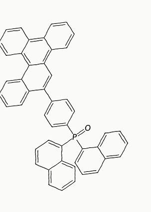 O=P(c1ccc(-c2cc3c4ccccc4c4ccccc4c3c3ccccc23)cc1)(c1cccc2ccccc12)c1cccc2ccccc12